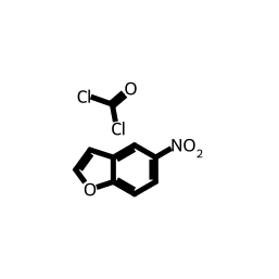 O=C(Cl)Cl.O=[N+]([O-])c1ccc2occc2c1